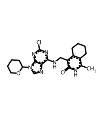 Cc1[nH]c(=O)c(CNc2nc(Cl)nc3c2ncn3C2CCCCO2)c2c1CCCC2